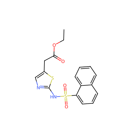 CCOC(=O)Cc1cnc(NS(=O)(=O)c2cccc3ccccc23)s1